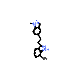 CC(C)c1cccc2c(CCc3ccc4c(cnn4C)c3)n[nH]c12